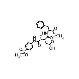 COC(=O)C(Cc1ccccc1)NC(=O)[C@H](CC(=O)O)NC(=O)Nc1ccc(S(C)(=O)=O)cc1